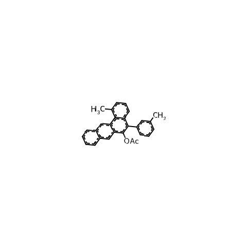 CC(=O)Oc1c(-c2cccc(C)c2)c2cccc(C)c2c2cc3ccccc3cc12